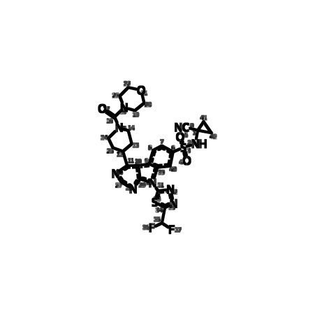 N#CC1(NS(=O)(=O)c2ccc3c4c(C5CCN(C(=O)N6CCOCC6)CC5)ncnc4n(-c4nnc(C(F)F)s4)c3c2)CC1